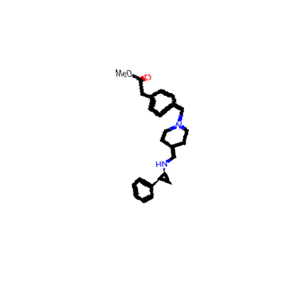 COC(=O)Cc1ccc(CN2CCC(CN[C@@H]3C[C@H]3c3ccccc3)CC2)cc1